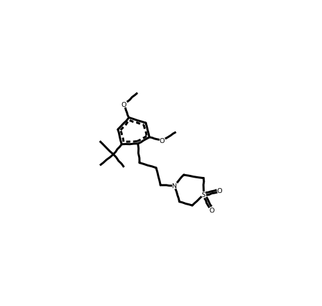 COc1cc(OC)c(CCCN2CCS(=O)(=O)CC2)c(C(C)(C)C)c1